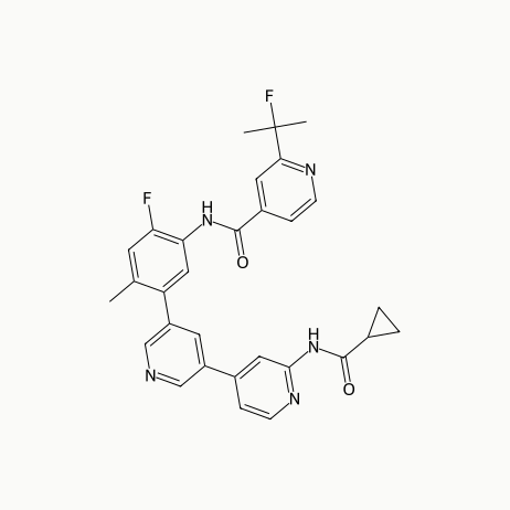 Cc1cc(F)c(NC(=O)c2ccnc(C(C)(C)F)c2)cc1-c1cncc(-c2ccnc(NC(=O)C3CC3)c2)c1